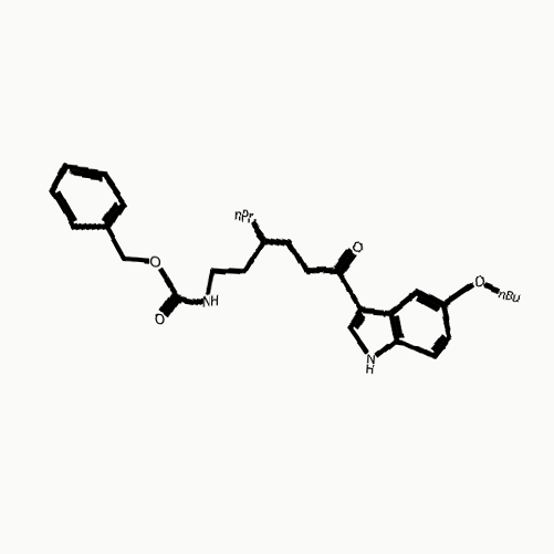 CCCCOc1ccc2[nH]cc(C(=O)CCC(CCC)CCNC(=O)OCc3ccccc3)c2c1